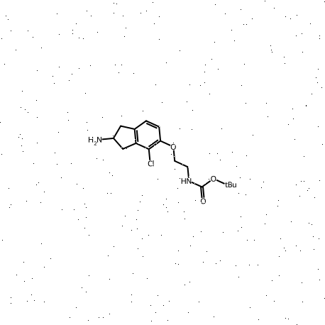 CC(C)(C)OC(=O)NCCOc1ccc2c(c1Cl)CC(N)C2